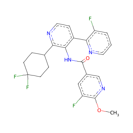 COc1ncc(C(=O)Nc2c(-c3ncccc3F)ccnc2C2CCC(F)(F)CC2)cc1F